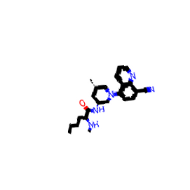 CCCCC(NC)C(=O)N[C@@H]1C[C@H](C)CN(c2ccc(C#N)c3ncccc23)C1